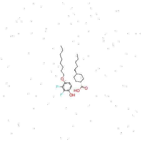 CCCCCCCCOc1ccc(O)c(F)c1F.CCCCC[C@H]1CC[C@H](C(=O)O)CC1